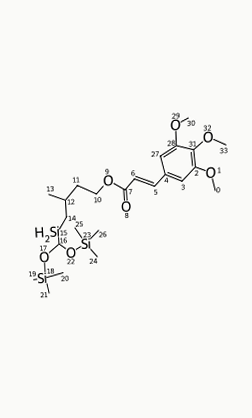 COc1cc(C=CC(=O)OCCC(C)C[SiH2]C(O[Si](C)(C)C)O[Si](C)(C)C)cc(OC)c1OC